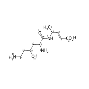 CC(/C=C/C(=O)O)NC(=O)C(N)CC(O)CCN